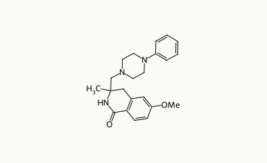 COc1ccc2c(c1)CC(C)(CN1CCN(c3ccccc3)CC1)NC2=O